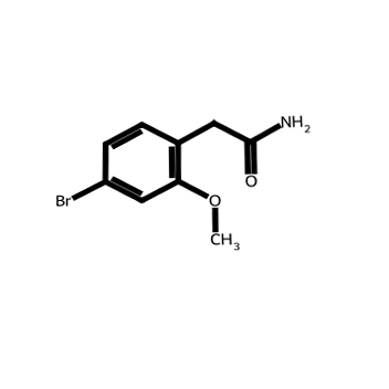 COc1cc(Br)ccc1[CH]C(N)=O